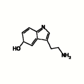 NCCC1=CN=C2C=CC(O)C=C12